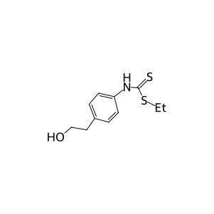 CCSC(=S)Nc1ccc(CCO)cc1